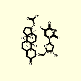 CCC(=O)O[C@H]1CC[C@H]2[C@@H]3CCC4=CC(=O)CC[C@]4(C)[C@H]3CC[C@]12C.O=c1[nH]c(=O)n([C@H]2C[C@H](O)[C@@H](CO)O2)cc1F